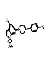 CNC1CC(n2ccc3c(Cl)cc(N4CCN(c5ccc(SC)cc5)CC4)nc32)C1